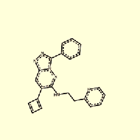 C1=CC(c2cc3nnc(-c4ccccc4)n3nc2NCCc2ccccn2)=C1